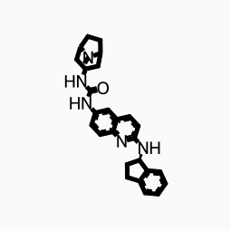 CN1C2CCC1CC(NC(=O)Nc1ccc3nc(N[C@@H]4CCc5ccccc54)ccc3c1)C2